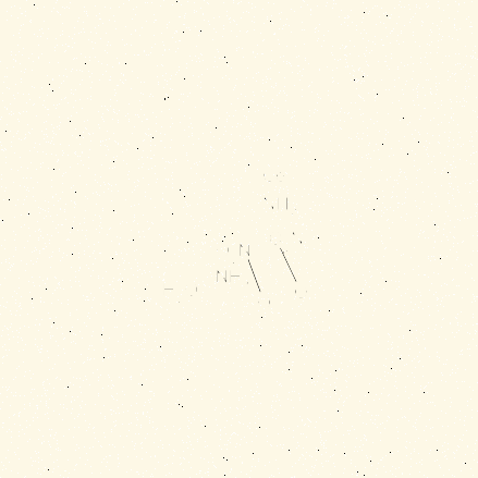 O.O=[N+]([O-])[O-].O=[N+]([O-])[O-].[Ce].[NH4+].[NH4+]